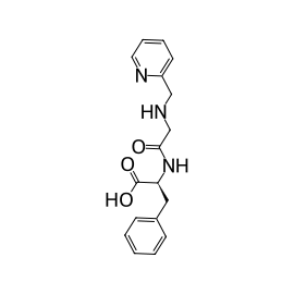 O=C(CNCc1ccccn1)N[C@@H](Cc1ccccc1)C(=O)O